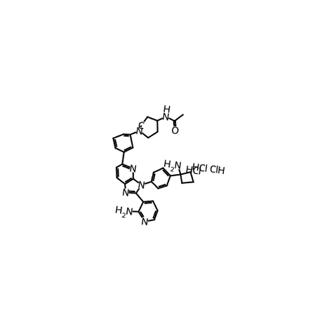 CC(=O)NC1CCN(c2cccc(-c3ccc4nc(-c5cccnc5N)n(-c5ccc(C6(N)CCC6)cc5)c4n3)c2)CC1.Cl.Cl.Cl